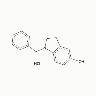 Cl.Oc1ccc2c(c1)CCN2Cc1ccccc1